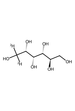 [2H]C([2H])(O)[C@H](O)[C@@H](O)[C@H](O)[C@H](O)CO